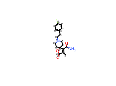 CC1=C(C(N)=O)C2(CCN(CCc3ccc(F)cc3)CC2)OC1=O